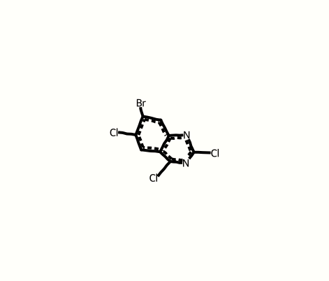 Clc1nc(Cl)c2cc(Cl)c(Br)cc2n1